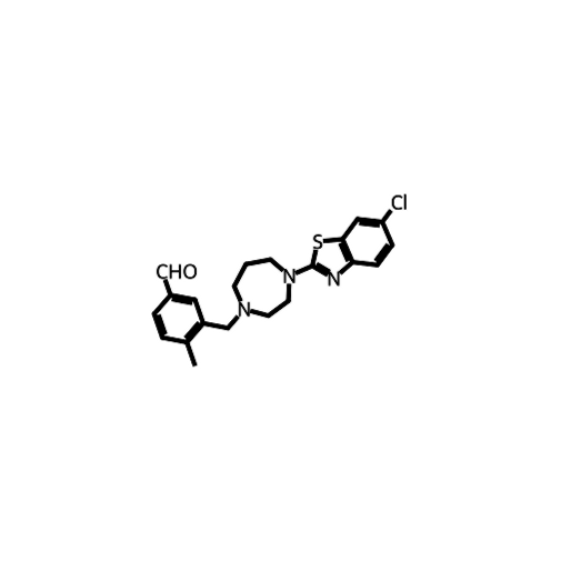 Cc1ccc(C=O)cc1CN1CCCN(c2nc3ccc(Cl)cc3s2)CC1